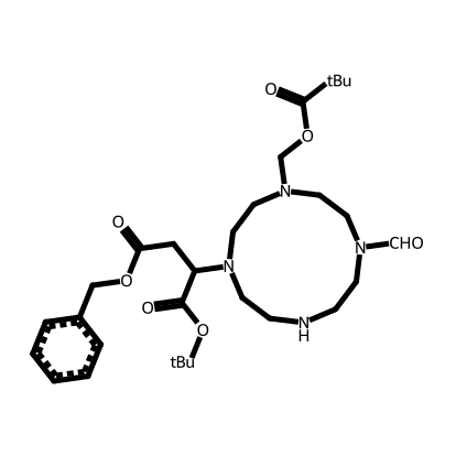 CC(C)(C)OC(=O)C(CC(=O)OCc1ccccc1)N1CCNCCN(C=O)CCN(COC(=O)C(C)(C)C)CC1